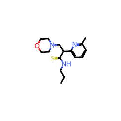 CCCNC(=S)C(CN1CCOCC1)c1cccc(C)n1